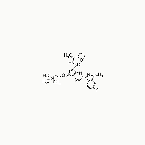 C[C@@H](NC(=O)c1cn(COCC[Si](C)(C)C)c2ncc(-c3nn(C)c4cc(F)ccc34)nc12)C1CCCO1